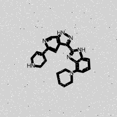 C1=C(c2cc3c(-c4nc5c(N6CCCCC6)cccc5[nH]4)n[nH]c3cn2)CCNC1